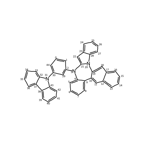 c1cc(N2c3ccccc3-c3cc4ccccc4cc3-n3c2cc2ccccc23)cc(-n2c3ccccc3c3ccccc32)c1